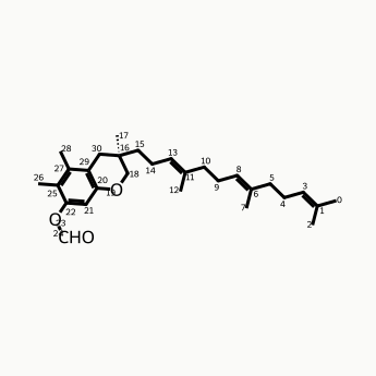 CC(C)=CCC/C(C)=C/CC/C(C)=C/CC[C@@]1(C)COc2cc(OC=O)c(C)c(C)c2C1